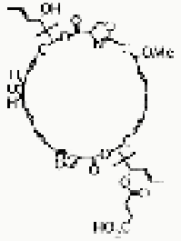 C/C=C/[C@H](OC(=O)CCC(=O)O)C(C)(C)[C@@H]1C\C=C/C=C\C=C\[C@H](OC)CC2=NC(CO2)C(=O)O[C@H](C(C)(C)[C@@H](O)/C=C/C)C/C=C\[C@H]2O[C@H]2/C=C/C=C\c2nc(co2)C(=O)O1